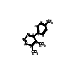 FC(F)(F)c1ccc(-c2nnnc(C(Cl)(Cl)Cl)c2C(Cl)(Cl)Cl)cc1